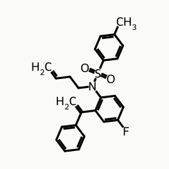 C=CCCN(c1ccc(F)cc1C(=C)c1ccccc1)S(=O)(=O)c1ccc(C)cc1